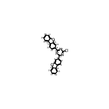 Clc1nc(-c2ccc3c(c2)oc2ccccc23)nc(-c2ccc3c(c2)oc2ccccc23)n1